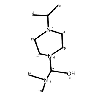 CC(C)N1CCN(C(O)N(C)C)CC1